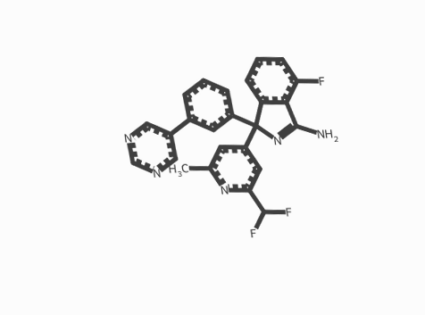 Cc1cc(C2(c3cccc(-c4cncnc4)c3)N=C(N)c3c(F)cccc32)cc(C(F)F)n1